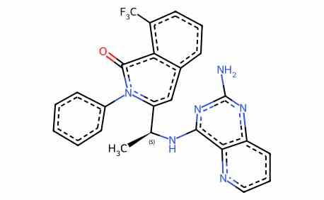 C[C@H](Nc1nc(N)nc2cccnc12)c1cc2cccc(C(F)(F)F)c2c(=O)n1-c1ccccc1